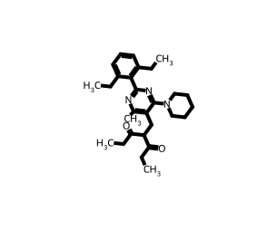 CCC(=O)C(Cc1c(C)nc(-c2c(CC)cccc2CC)nc1N1CCCCC1)C(=O)CC